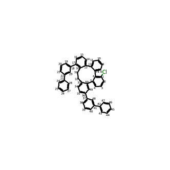 Clc1cccc2c1-c1ccccc1-c1cccc(-c3cccc(-c4ccccc4)c3)c1CCc1ccc(-c3cccc(-c4ccccc4)c3)cc1-2